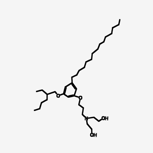 CCCCCCCCCCCCCCCc1cc(OCCCN(CCO)CCO)cc(OCC(CC)CCCC)c1